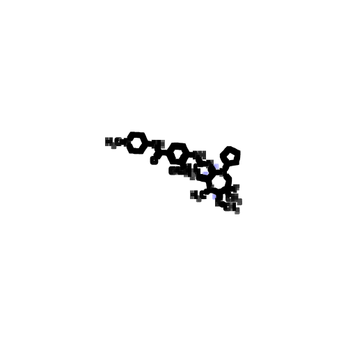 C=C(/N=C1\C(=C/N)N(C)/C(=N/C)C(C)(F)CN1C1CCCC1)Nc1ccc(C(=O)NC2CCN(C)CC2)cc1OC